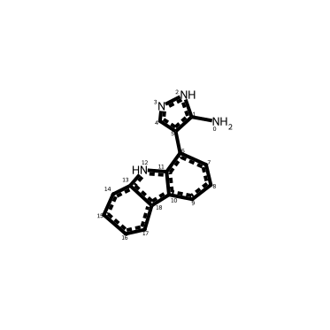 Nc1[nH]ncc1-c1cccc2c1[nH]c1ccccc12